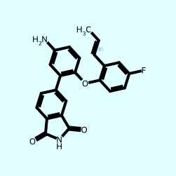 C/C=C/c1cc(F)ccc1Oc1ccc(N)cc1-c1ccc2c(c1)C(=O)NC2=O